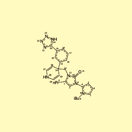 CCCc1cn(-c2cccn2C(C)CC)c(=O)n1CC1(c2cccc(-c3nnn[nH]3)c2)C=CNC=C1